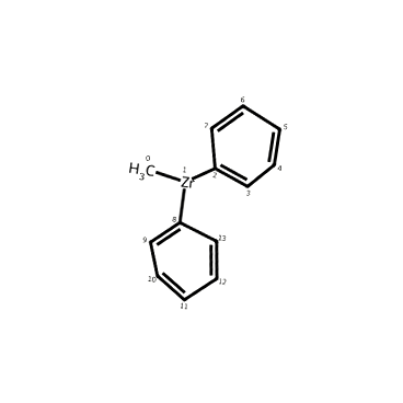 [CH3][Zr]([c]1ccccc1)[c]1ccccc1